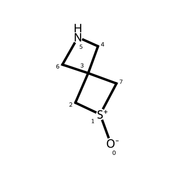 [O-][S+]1CC2(CNC2)C1